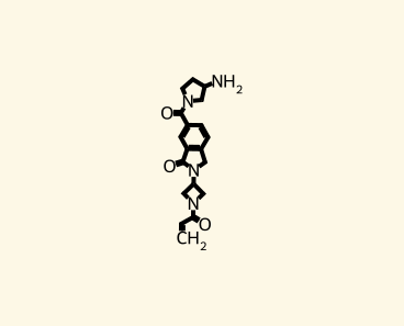 C=CC(=O)N1CC(N2Cc3ccc(C(=O)N4CCC(N)C4)cc3C2=O)C1